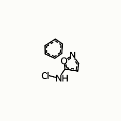 ClNc1ccno1.c1ccccc1